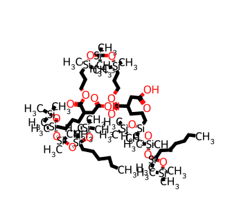 CCCCCC[Si](C)(O[Si](C)(C)C)O[Si](C)(C)O[Si](C)(CCCC(CC(=O)O)C(=O)OCCC[Si](C)(C)O[Si](C)(C)O[Si](C)(C)CCCOC(=O)C(CCC[Si](C)(O[Si](C)(C)C)O[Si](C)(C)O[Si](C)(CCCCCC)O[Si](C)(C)C)CC(=O)O)O[Si](C)(C)C